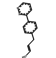 O/C=C/Cc1ccc(-c2cccnn2)cc1